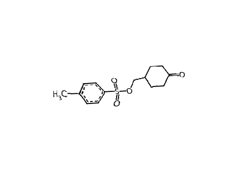 Cc1ccc(S(=O)(=O)OCC2CCC(=O)CC2)cc1